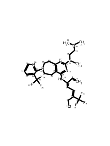 C=C/C(=C\C=C(/CCl)C(F)(F)F)Nc1nc(N(C)CCN(C)C)nc2c1CCN(c1ncccc1C(F)(F)F)CC2